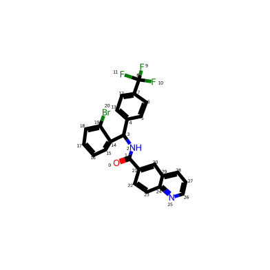 O=C(NC(c1ccc(C(F)(F)F)cc1)c1ccccc1Br)c1ccc2ncccc2c1